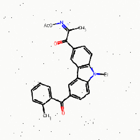 CCn1c2ccc(C(=O)/C(C)=N\OC(C)=O)cc2c2cc(C(=O)c3ccccc3C)ccc21